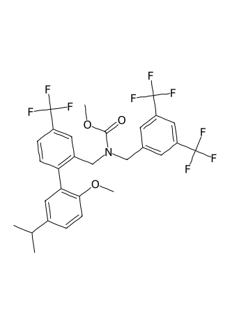 COC(=O)N(Cc1cc(C(F)(F)F)cc(C(F)(F)F)c1)Cc1cc(C(F)(F)F)ccc1-c1cc(C(C)C)ccc1OC